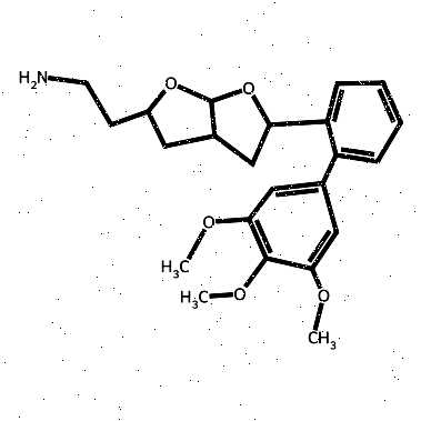 COc1cc(-c2ccccc2C2CC3CC(CCN)OC3O2)cc(OC)c1OC